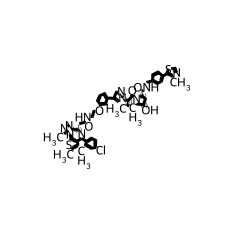 Cc1ncsc1-c1ccc(CNC(=O)[C@@H]2C[C@@H](O)CN2C(=O)[C@@H](C(C)C)n2cc(-c3cccc(OCCNC(=O)C[C@@H]4N=C(c5ccc(Cl)cc5)c5c(sc(C)c5C)-n5c(C)nnc54)c3)cn2)cc1